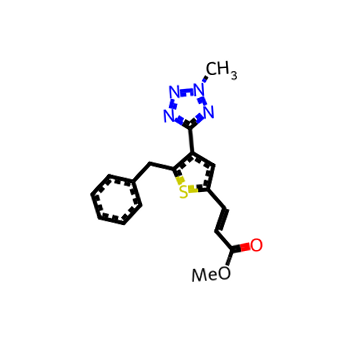 COC(=O)C=Cc1cc(-c2nnn(C)n2)c(Cc2ccccc2)s1